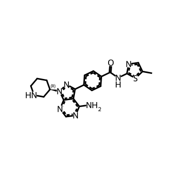 Cc1cnc(NC(=O)c2ccc(-c3nn([C@@H]4CCCNC4)c4ncnc(N)c34)cc2)s1